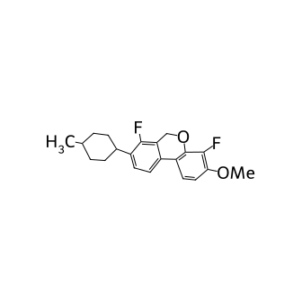 COc1ccc2c(c1F)OCc1c-2ccc(C2CCC(C)CC2)c1F